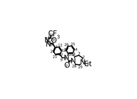 CCN1CCCN(C(=O)N(Cc2ccc(-c3nnc(C(F)(F)F)o3)cc2)c2ccccc2)CC1